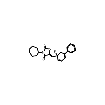 O=C1/C(=C/C2(F)C=CC=C(c3ccccc3)C2)SC(=S)N1C1CCCCCC1